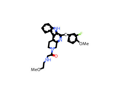 COCCNCC(=O)N1CCc2c(nc(Cc3ccc(OC)c(F)c3)c3[nH]c4ccccc4c23)C1